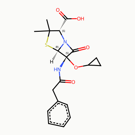 CC1(C)S[C@H]2N(C(=O)[C@]2(NC(=O)Cc2ccccc2)OC2CC2)[C@H]1C(=O)O